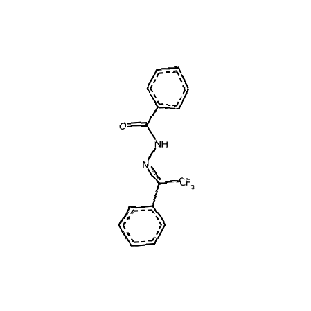 O=C(NN=C(c1ccccc1)C(F)(F)F)c1ccccc1